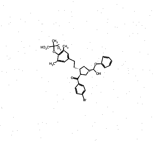 Cc1cc(CC[C@@H]2CN(C(O)Oc3ccccc3)C[C@H]2C(=O)c2ccc(Br)cc2)cc(C)c1OC(C)(C)C(=O)O